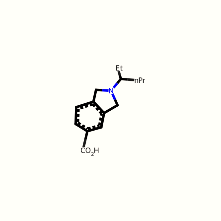 CCCC(CC)N1Cc2ccc(C(=O)O)cc2C1